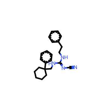 N#C/N=C(\NCCc1ccccc1)NCC1(c2ccccc2)CCCCC1